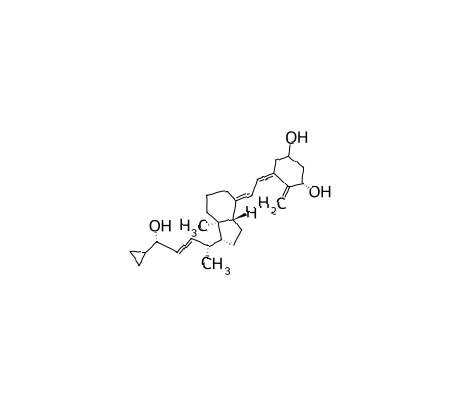 C=C1C(=C/C=C2\CCC[C@]3(C)[C@@H]([C@H](C)/C=C/[C@@H](O)C4CC4)CC[C@@H]23)CC(O)C[C@@H]1O